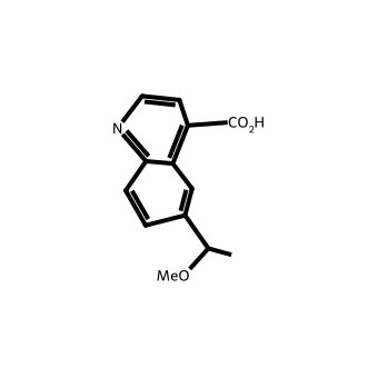 COC(C)c1ccc2nccc(C(=O)O)c2c1